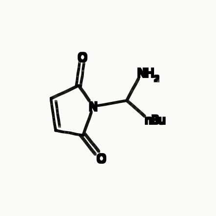 CCCCC(N)N1C(=O)C=CC1=O